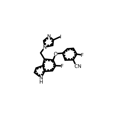 N#Cc1cc(Oc2c(F)cc3[nH]ccc3c2Cn2cnc(I)c2)ccc1F